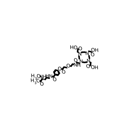 CN[C@@H](CCCNC(=O)c1ccc(OC(=O)CCOCCNC(=O)CN2CCN(CC(=O)O)CCN(CC(=O)O)CCN(CC(=O)O)CC2)cc1)C(C)=O